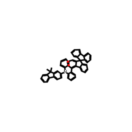 CC1(C)c2ccccc2-c2ccc(N(c3ccccc3)c3ccccc3-c3cccc4c3-c3ccccc3C43c4ccccc4-c4ccccc43)cc21